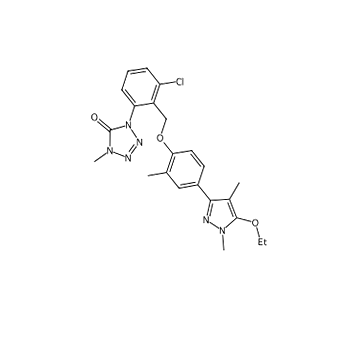 CCOc1c(C)c(-c2ccc(OCc3c(Cl)cccc3-n3nnn(C)c3=O)c(C)c2)nn1C